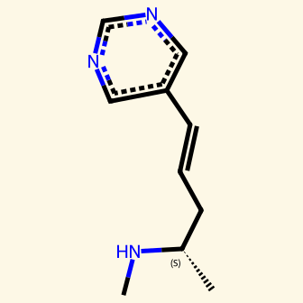 CN[C@@H](C)CC=Cc1cncnc1